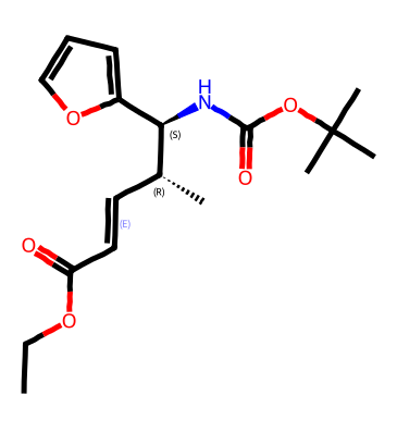 CCOC(=O)/C=C/[C@@H](C)[C@H](NC(=O)OC(C)(C)C)c1ccco1